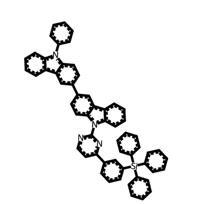 c1ccc(-n2c3ccccc3c3cc(-c4ccc5c(c4)c4ccccc4n5-c4nccc(-c5cccc([Si](c6ccccc6)(c6ccccc6)c6ccccc6)c5)n4)ccc32)cc1